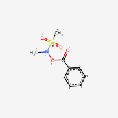 CN(OC(=O)c1ccccc1)S(C)(=O)=O